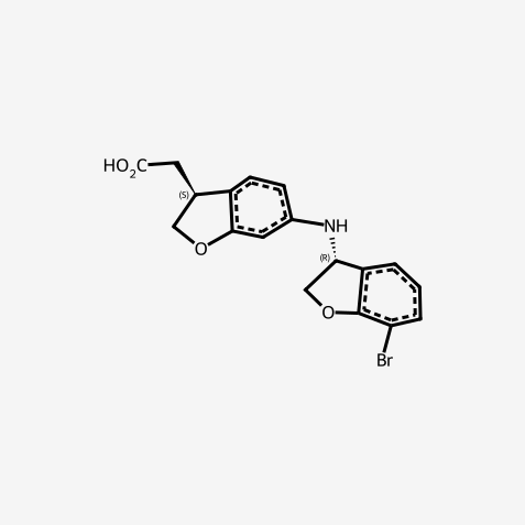 O=C(O)C[C@@H]1COc2cc(N[C@H]3COc4c(Br)cccc43)ccc21